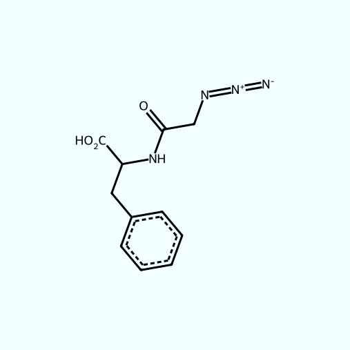 [N-]=[N+]=NCC(=O)NC(Cc1ccccc1)C(=O)O